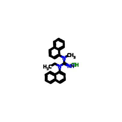 CCN(C(=N)N(C)c1cccc2ccccc12)c1cccc2ccccc12.Cl